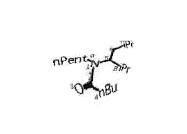 CCCCCN(C(=O)CCCC)C(CC(C)C)C(C)C